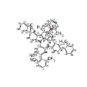 Cc1ccccc1-c1ccc2c(c1)c1cc(-c3ccccc3C)ccc1n2-c1cc(C#N)c(-c2c(C#N)cccc2C(F)(F)F)cc1-n1c2ccc(-c3ccccc3C)cc2c2cc(-c3ccccc3C)ccc21